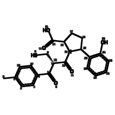 Cc1ccc(C(=O)[C@H](CS)C(=O)N2C(C(=O)O)CCC2c2ccccc2O)cc1